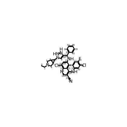 CCN1CC2C(C1)C2N1C=C([C@@H](Nc2cc(Cl)c3ncc(C#N)c(Nc4ccc(F)c(Cl)c4)c3c2)c2ccccc2)NN1